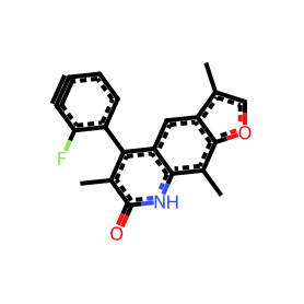 Cc1c(-c2ccc#cc2F)c2cc3c(C)coc3c(C)c2[nH]c1=O